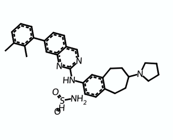 Cc1cccc(-c2ccc3cnc(Nc4ccc5c(c4)CCC(N4CCCC4)CC5)nc3c2)c1C.N[SH](=O)=O